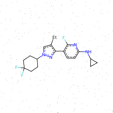 CCc1cn(C2CCC(F)(F)CC2)nc1-c1ccc(NC2CC2)nc1F